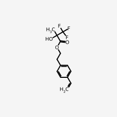 C=Cc1ccc(CCOC(=O)C(C)(O)C(F)(F)F)cc1